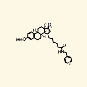 COc1ccc2c(c1)CC[C@H]1[C@@H]3[C@H](CCCCCC(=O)NCc4ccncc4)CC(=O)[C@@]3(C)CC[C@H]21